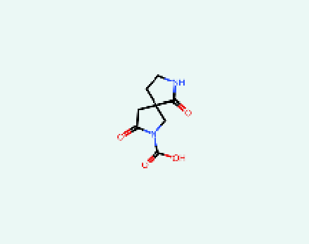 O=C(O)N1CC2(CCNC2=O)CC1=O